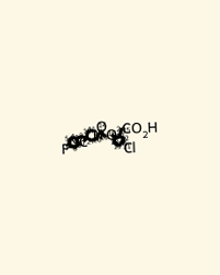 N#CC1(Cc2ccc(F)cc2)CCN(C(=O)COc2ccc(Cl)cc2CC(=O)O)CC1